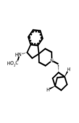 O=C(O)N[C@H]1CC2(CCN(C[C@H]3C[C@H]4CC[C@@H]3C4)CC2)c2ccccc21